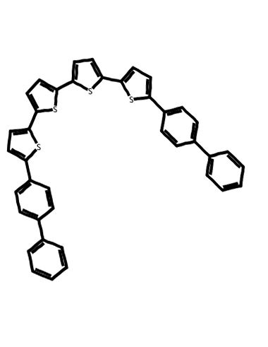 c1ccc(-c2ccc(-c3ccc(-c4ccc(-c5ccc(-c6ccc(-c7ccc(-c8ccccc8)cc7)s6)s5)s4)s3)cc2)cc1